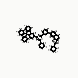 c1ccc(-c2nc(-c3cccc(-c4ccc5ccc6nc(-c7ccccc7)sc6c5c4)c3)nc(-c3ccc4c(c3)-c3ccccc3C4(c3ccccc3)c3ccccc3)n2)cc1